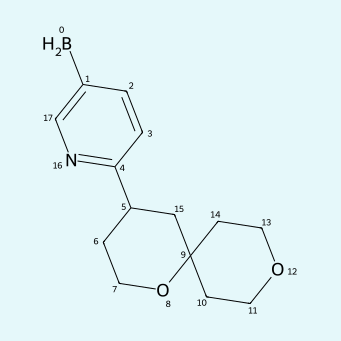 Bc1ccc(C2CCOC3(CCOCC3)C2)nc1